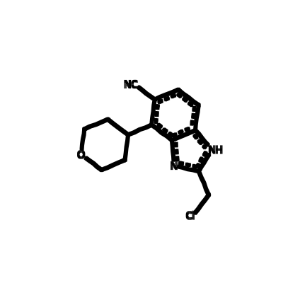 N#Cc1ccc2[nH]c(CCl)nc2c1C1CCOCC1